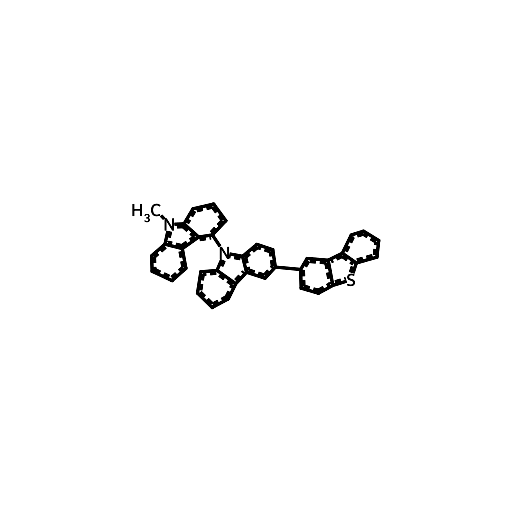 Cn1c2ccccc2c2c(-n3c4ccccc4c4cc(-c5ccc6sc7ccccc7c6c5)ccc43)cccc21